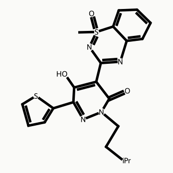 CC(C)CCn1nc(-c2cccs2)c(O)c(C2=Nc3ccccc3S(C)(=O)=N2)c1=O